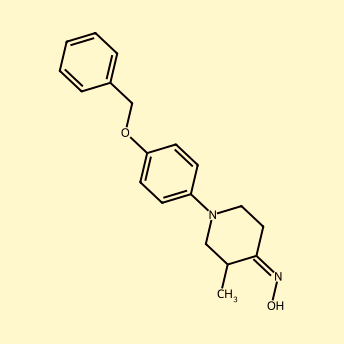 CC1CN(c2ccc(OCc3ccccc3)cc2)CC/C1=N/O